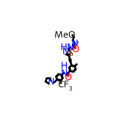 COCCN(C)C(=O)Nc1ncc(C#Cc2cc(C(=O)Nc3ccc(CN4CCCC4)c(C(F)(F)F)c3)ccc2C)s1